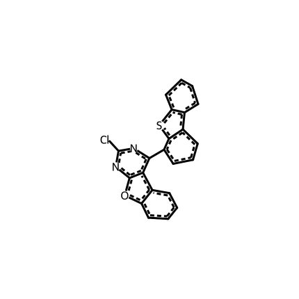 Clc1nc(-c2cccc3c2sc2ccccc23)c2c(n1)oc1ccccc12